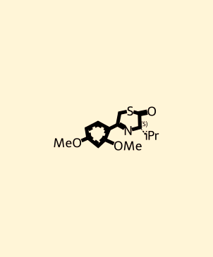 COc1ccc(C2=N[C@@H](C(C)C)C(=O)SC2)c(OC)c1